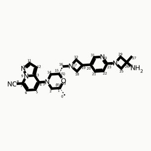 C[C@@H]1CN(c2ccc(C#N)n3nccc23)C[C@H](CN2CC(c3ccc(N4CC(C)(N)C4)nc3)C2)O1